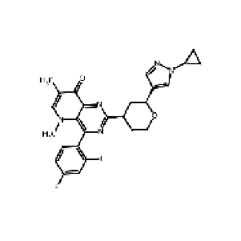 Cc1cn(C)c2c(-c3ccc(F)cc3F)nc([C@@H]3CCO[C@H](c4cnn(C5CC5)c4)C3)nc2c1=O